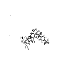 CCN(C(=O)c1cnc2c(c1)N(S(=O)(=O)c1ccc(C(F)(F)F)cc1)CCO2)C(C)(C)C